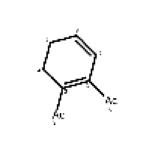 CC(=O)C1=C(C(C)=O)CCC=C1